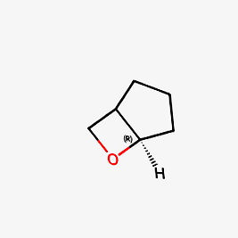 C1CC2CO[C@@H]2C1